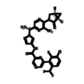 Cc1nc([C@@H](C)n2cc(NC(=O)c3cncc(-c4c(C(F)F)ccc(Cl)c4F)n3)cn2)cnc1N1C[C@H]2C[C@H]2C1=O